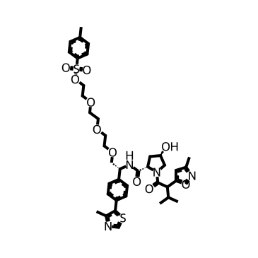 Cc1ccc(S(=O)(=O)OCCOCCOCCOC[C@H](NC(=O)[C@@H]2C[C@@H](O)CN2C(=O)C(c2cc(C)no2)C(C)C)c2ccc(-c3scnc3C)cc2)cc1